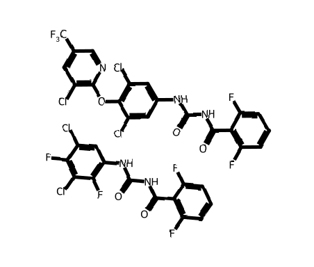 O=C(NC(=O)c1c(F)cccc1F)Nc1cc(Cl)c(F)c(Cl)c1F.O=C(NC(=O)c1c(F)cccc1F)Nc1cc(Cl)c(Oc2ncc(C(F)(F)F)cc2Cl)c(Cl)c1